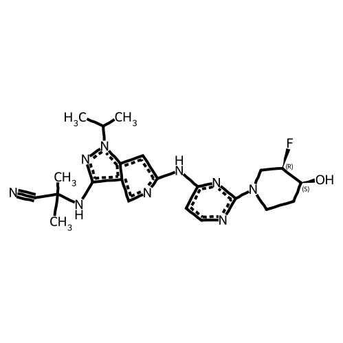 CC(C)n1nc(NC(C)(C)C#N)c2cnc(Nc3ccnc(N4CC[C@H](O)[C@H](F)C4)n3)cc21